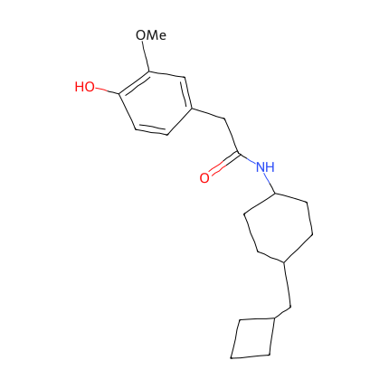 COc1cc(CC(=O)NC2CCC(CC3CCC3)CC2)ccc1O